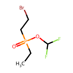 CCP(=O)(CCBr)OC(F)F